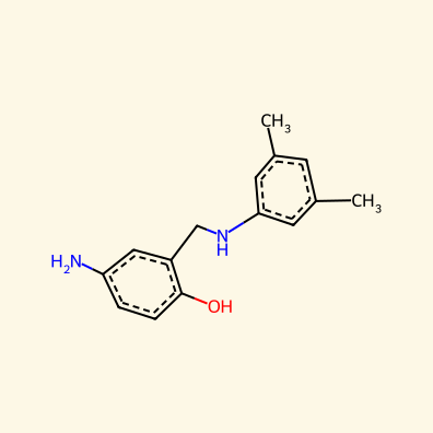 Cc1cc(C)cc(NCc2cc(N)ccc2O)c1